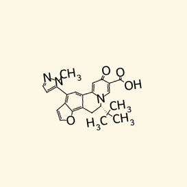 Cn1nccc1-c1cc2c(c3occc13)C[C@@H](C(C)(C)C)n1cc(C(=O)O)c(=O)cc1-2